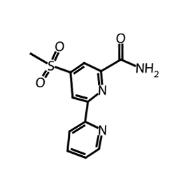 CS(=O)(=O)c1cc(C(N)=O)nc(-c2ccccn2)c1